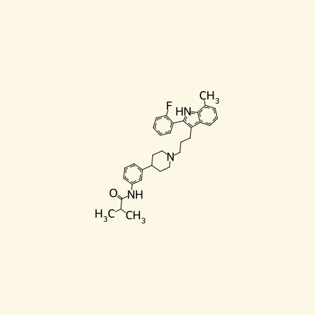 Cc1cccc2c(CCCN3CCC(c4cccc(NC(=O)C(C)C)c4)CC3)c(-c3ccccc3F)[nH]c12